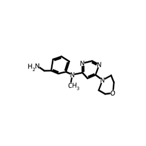 CN(c1cccc(CN)c1)c1cc(N2CCOCC2)ncn1